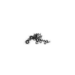 CCOC(=O)CCCC(=O)Nc1cc(Cl)cc2c(S(=O)(=O)N3CCO[C@H](COc4ccccc4)C3)c(C(N)=O)[nH]c12